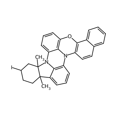 CC12CCC(I)CC1(C)N1c3cccc4c3N(c3cccc2c31)c1ccc2ccccc2c1O4